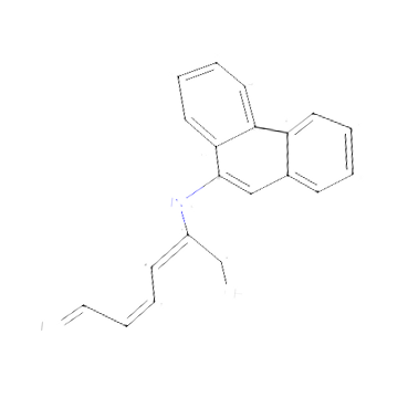 C=C/C=C\C=C(/CC)Nc1cc2ccccc2c2ccccc12